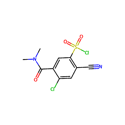 CN(C)C(=O)c1cc(S(=O)(=O)Cl)c(C#N)cc1Cl